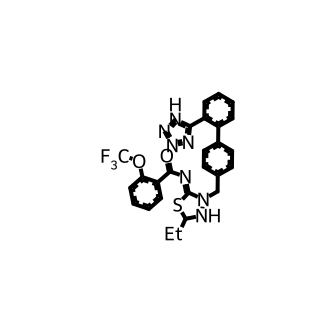 CCC1NN(Cc2ccc(-c3ccccc3-c3nnn[nH]3)cc2)C(=NC(=O)c2ccccc2OC(F)(F)F)S1